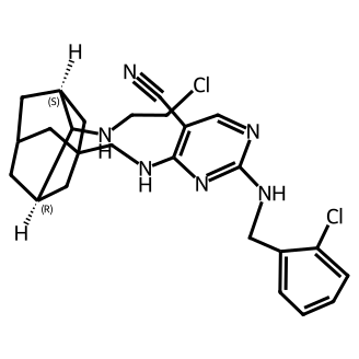 N#Cc1cnc(NCc2ccccc2Cl)nc1NCC12CC3C[C@H](C1)C(NCCCl)[C@@H](C3)C2